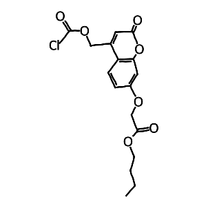 CCCCOC(=O)COc1ccc2c(COC(=O)Cl)cc(=O)oc2c1